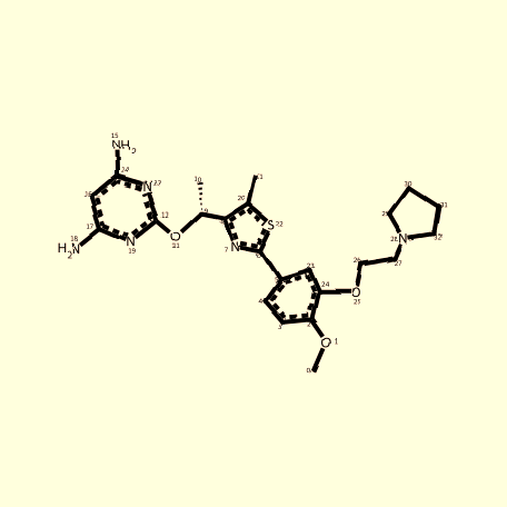 COc1ccc(-c2nc([C@@H](C)Oc3nc(N)cc(N)n3)c(C)s2)cc1OCCN1CCCC1